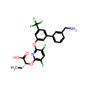 CC[C@@H](Oc1nc(Oc2cc(-c3cccc(CN)c3)cc(C(F)(F)F)c2)c(F)cc1F)C(=O)O